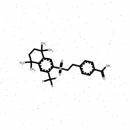 CC1(C)CCC(C)(C)c2cc(S(=O)(=O)CCc3ccc(C(=O)O)cc3)c(C(F)(F)F)cc21